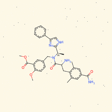 COC(=O)c1cc(CN(C(=O)C(N)Cc2c(C)cc(C(N)=O)cc2C)[C@H](C)c2nc(-c3ccccc3)c[nH]2)ccc1OC